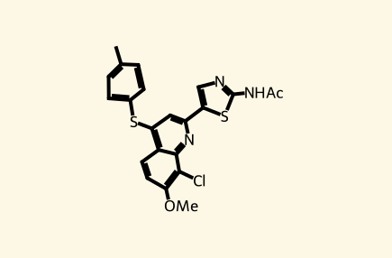 COc1ccc2c(Sc3ccc(C)cc3)cc(-c3cnc(NC(C)=O)s3)nc2c1Cl